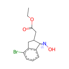 CCOC(=O)CC1Cc2c(Br)cccc2/C1=N\O